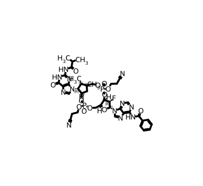 CC(C)C(=O)Nc1nc2c(ncn2[C@@H]2[C@@H](C)[C@]3(C)COP(=O)(OCCC#N)O[C@H]4[C@@H](F)[C@H](n5cnc6c(NC(=O)c7ccccc7)ncnc65)O[C@@H]4COP(=O)(OCCC#N)O[C@@H]2C3)c(=O)[nH]1